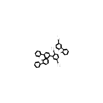 N#Cc1cc(-c2ccc(-c3ccccc3-n3c4ccccc4c4ccccc43)cc2)c(C#N)c(-n2c3ccccc3c3cc(C#N)ccc32)c1